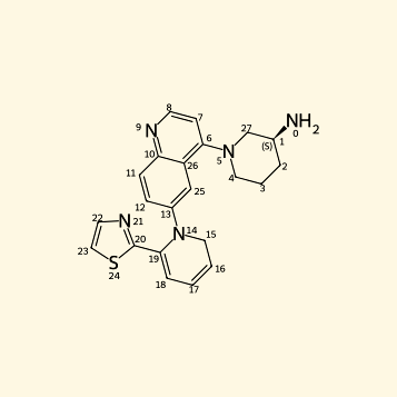 N[C@H]1CCCN(c2ccnc3ccc(N4CC=CC=C4c4nccs4)cc23)C1